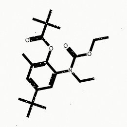 CCOC(=O)N(CC)c1cc(C(C)(C)C)cc(C)c1OC(=O)C(C)(C)C